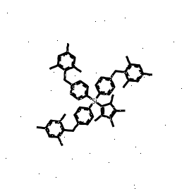 CC1=C(C)C(C)C([Si](c2ccc(Cc3c(C)cc(C)cc3C)cc2)(c2ccc(Cc3c(C)cc(C)cc3C)cc2)c2ccc(Cc3c(C)cc(C)cc3C)cc2)=C1C